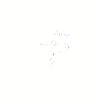 COc1cc(CCN([C@H](C(N)=O)C(C)C)S(C)(=O)=O)ccc1OCC#Cc1ccc(Cl)cc1.OC(=S)n1ccnc1